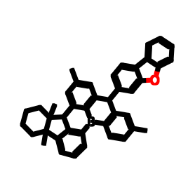 Cc1ccc2c(c1)C(c1ccc3c(c1)oc1ccccc13)c1cc(C)cc3c1B2c1cccc2c1C3C1(C)CCCCC21C